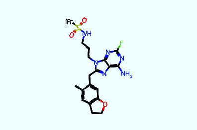 Cc1cc2c(cc1Cc1nc3c(N)nc(F)nc3n1CCCNS(=O)(=O)C(C)C)OCC2